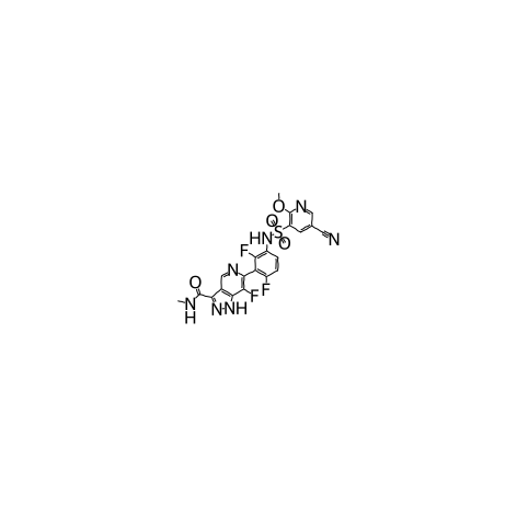 CNC(=O)c1n[nH]c2c(F)c(-c3c(F)ccc(NS(=O)(=O)c4cc(C#N)cnc4OC)c3F)ncc12